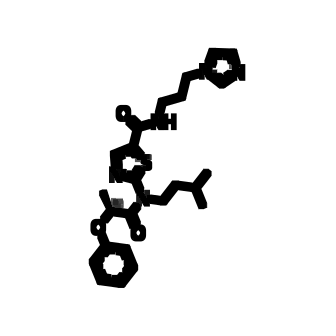 CC(C)CCN(C(=O)[C@H](C)Oc1ccccc1)c1ncc(C(=O)NCCCn2ccnc2)s1